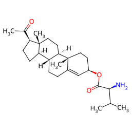 CC(=O)[C@@H]1CC[C@@H]2[C@H]3CCC4=C[C@H](OC(=O)[C@@H](N)C(C)C)CC[C@@]4(C)[C@@H]3CC[C@]21C